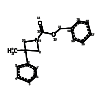 CC1(c2ccccc2)CN(C(=O)OCc2ccccc2)C1